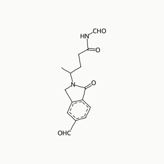 CC(CCC(=O)NC=O)N1Cc2cc(C=O)ccc2C1=O